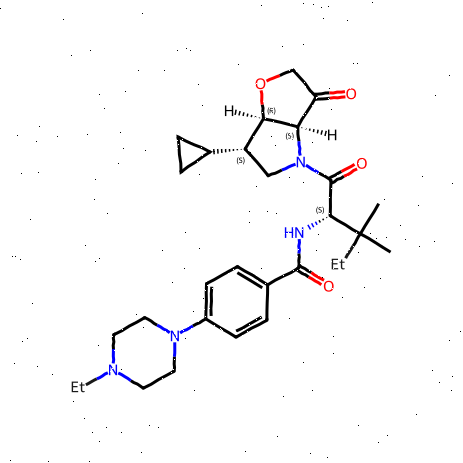 CCN1CCN(c2ccc(C(=O)N[C@H](C(=O)N3C[C@H](C4CC4)[C@H]4OCC(=O)[C@H]43)C(C)(C)CC)cc2)CC1